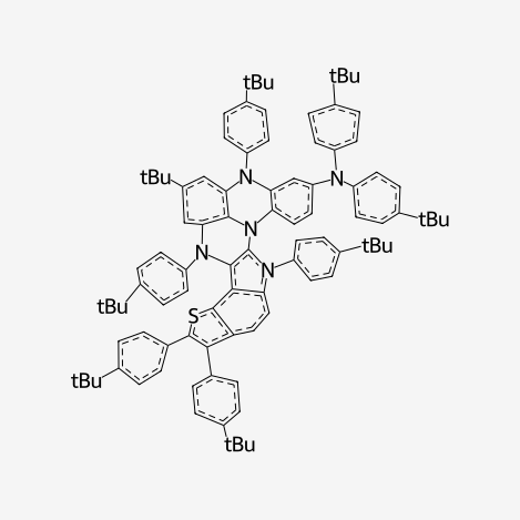 CC(C)(C)c1ccc(-c2sc3c(ccc4c3c3c(n4-c4ccc(C(C)(C)C)cc4)N4c5ccc(N(c6ccc(C(C)(C)C)cc6)c6ccc(C(C)(C)C)cc6)cc5N(c5ccc(C(C)(C)C)cc5)c5cc(C(C)(C)C)cc(c54)N3c3ccc(C(C)(C)C)cc3)c2-c2ccc(C(C)(C)C)cc2)cc1